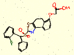 O=C(O)COc1cccc2c1CCc1sc(S(=O)(=O)C(c3ccccc3)c3ccccc3F)nc1-2